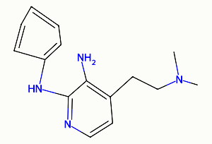 CN(C)CCc1ccnc(Nc2ccccc2)c1N